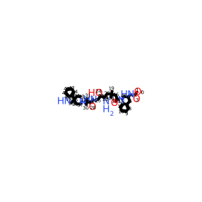 COC(=O)NC1Cc2ccccc2N(C(=O)CC(C)(C)C[C@H](N)[C@@H](O)CNC(=O)C(C)(C)N2CCC3(CC2)CNc2ccccc23)C1